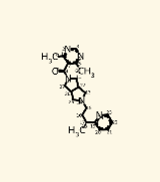 Cc1ncnc(C)c1C(=O)N1CC2CN(CC[C@H](C)c3ccccn3)CC2C1